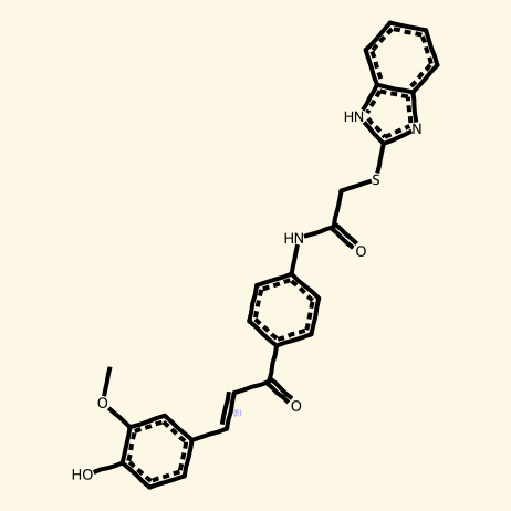 COc1cc(/C=C/C(=O)c2ccc(NC(=O)CSc3nc4ccccc4[nH]3)cc2)ccc1O